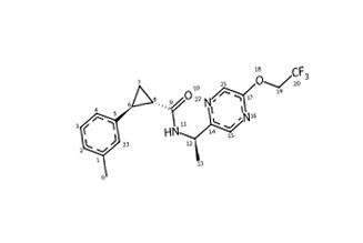 Cc1cccc([C@H]2C[C@@H]2C(=O)N[C@H](C)c2cnc(OCC(F)(F)F)cn2)c1